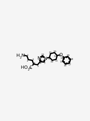 NCCCC(Cc1cn(C2CCC(Oc3ccccc3)CC2)cn1)C(=O)O